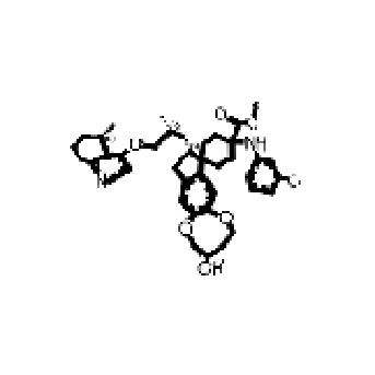 COC(=O)C1(Nc2cccc(Cl)c2)CCC2(CC1)c1cc3c(cc1C[C@@H]2C[C@@H](C)COc1ccnc2c1[C@H](C)CCC2)OC[C@@H](O)CCO3